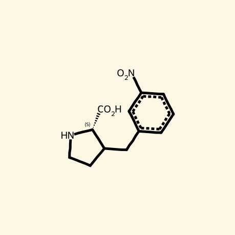 O=C(O)[C@H]1NCCC1Cc1cccc([N+](=O)[O-])c1